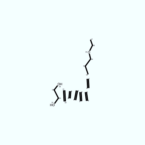 C=C.C=C.C=C.C=C.C=C.C=C.CCCOCC.OCCO